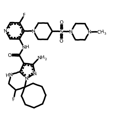 CN1CCN(S(=O)(=O)C2CCN(c3c(F)cncc3NC(=O)c3c(N)nn4c3NCC(F)C43CCCCCCC3)CC2)CC1